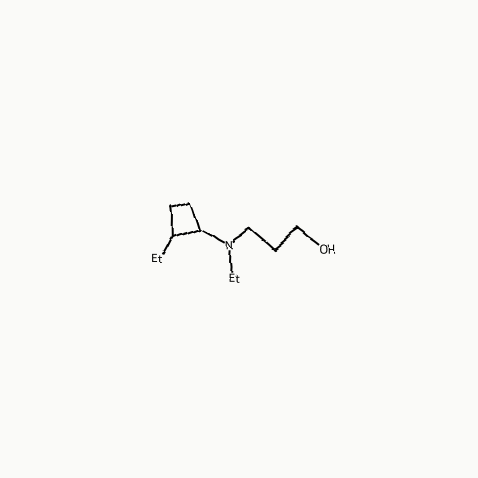 CCC1CCC1N(CC)CCCO